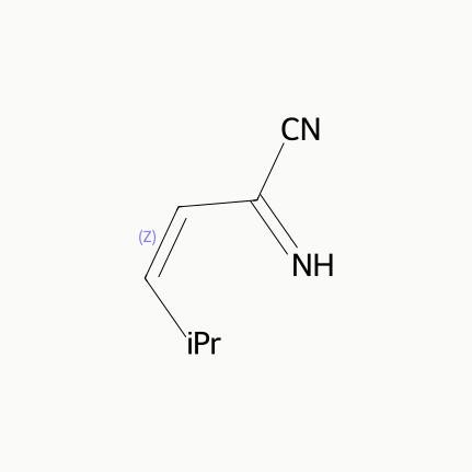 CC(C)/C=C\C(=N)C#N